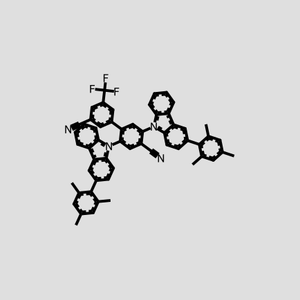 Cc1cc(C)c(-c2ccc3c(c2)c2ccccc2n3-c2cc(-c3cc(C#N)cc(C(F)(F)F)c3)c(-n3c4ccccc4c4cc(-c5c(C)cc(C)cc5C)ccc43)cc2C#N)c(C)c1